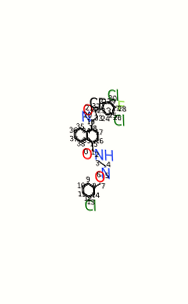 O=C(NC/C=N\OCc1cccc(Cl)c1)c1ccc(C2=NOC(c3cc(Cl)c(F)c(Cl)c3)(C(F)(F)F)C2)c2ccccc12